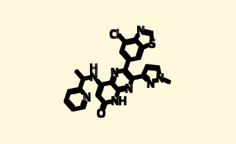 CC(Nc1cc(=O)[nH]c2nc(-c3ccn(C)n3)c(-c3cc(Cl)c4ncsc4c3)nc12)c1ccccn1